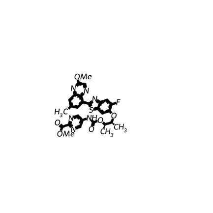 COC(=O)c1ncc(NC(=O)O[C@H](C)[C@H](C)Oc2cc3sc(-c4cc(C)cc5nc(OC)cnc45)nc3cc2F)cn1